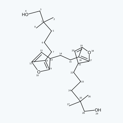 CC(C)(CO)CCCC1=C2OC1=CC2CCC1=C2OC1=CC2CCCC(C)(C)CO